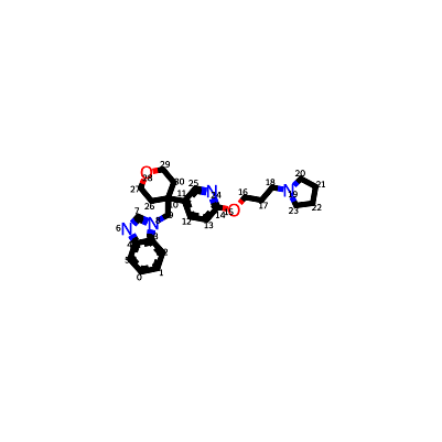 c1ccc2c(c1)ncn2CC1(c2ccc(OCCCN3CCCC3)nc2)CCOCC1